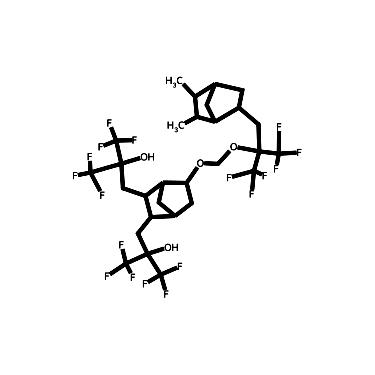 CC1C2CC(CC(OCOC3CC4CC3C(CC(O)(C(F)(F)F)C(F)(F)F)C4CC(O)(C(F)(F)F)C(F)(F)F)(C(F)(F)F)C(F)(F)F)C(C2)C1C